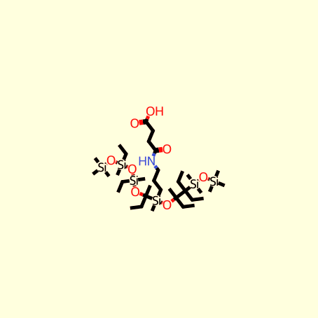 CCC(C)(O[Si](C)(CCCNC(=O)CCC(=O)O)C(C)(CC)O[Si](C)(CC)O[Si](C)(CC)O[Si](C)(C)C)C(CC)(CC)[Si](C)(C)O[Si](C)(C)C